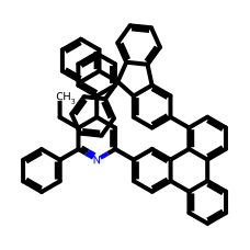 CCC1C(c2ccccc2)=NC(c2ccc3c4ccccc4c4cccc(-c5ccc6c(c5)-c5ccccc5C6(c5ccccc5)c5ccccc5)c4c3c2)=CC1c1ccccc1